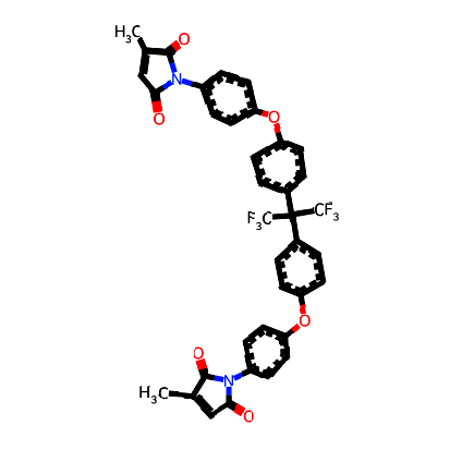 CC1=CC(=O)N(c2ccc(Oc3ccc(C(c4ccc(Oc5ccc(N6C(=O)C=C(C)C6=O)cc5)cc4)(C(F)(F)F)C(F)(F)F)cc3)cc2)C1=O